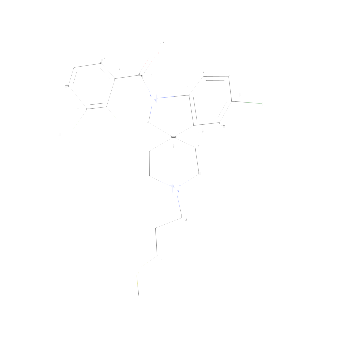 CSCCCN1CCC2(CC1)CN(C(=O)c1cccc(F)c1F)c1ccc(Cl)cc12